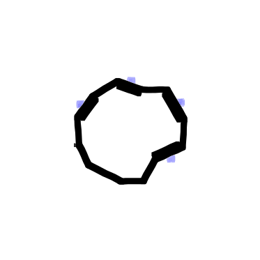 [CH]1\C=C/C=C/C=C\C=C\CCC1